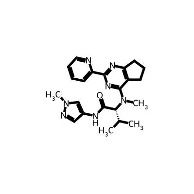 CC(C)[C@H](C(=O)Nc1cnn(C)c1)N(C)c1nc(-c2ccccn2)nc2c1CCC2